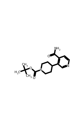 CC(C)(C)OC(=O)N1CCC(c2cnccc2C(N)=O)CC1